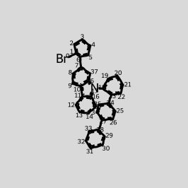 Brc1ccccc1-c1ccc2c3ccccc3n(-c3ccccc3-c3ccc(-c4ccccc4)cc3)c2c1